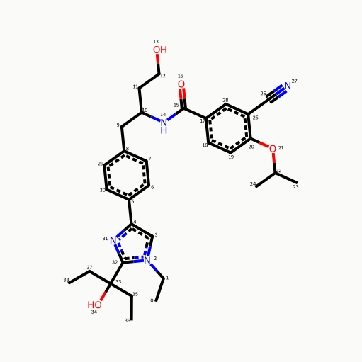 CCn1cc(-c2ccc(CC(CCO)NC(=O)c3ccc(OC(C)C)c(C#N)c3)cc2)nc1C(O)(CC)CC